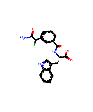 NC(=O)C(Cl)c1cccc(C(=O)N[C@@H](Cc2c[nH]c3ccccc23)C(=O)O)c1